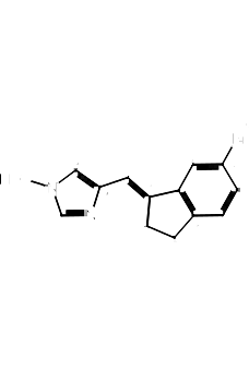 Cn1cnc(/C=C2\CCc3ccc(Br)cc32)c1